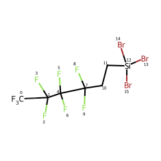 FC(F)(F)C(F)(F)C(F)(F)C(F)(F)CC[Si](Br)(Br)Br